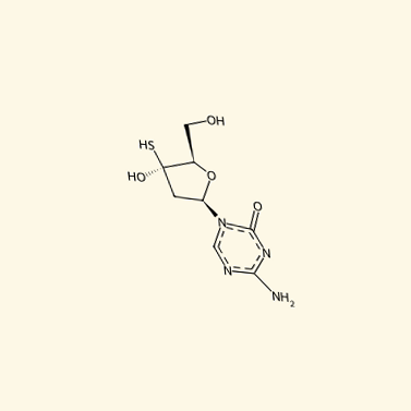 Nc1ncn([C@H]2C[C@@](O)(S)[C@@H](CO)O2)c(=O)n1